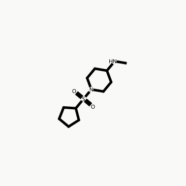 CNC1CCN(S(=O)(=O)C2CCCC2)CC1